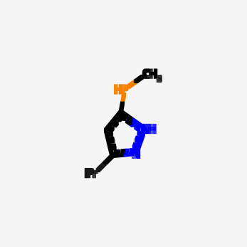 CPc1cc(C(C)C)n[nH]1